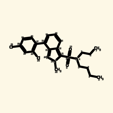 CCCCN(CCC)S(=O)(=O)c1c2cccc(-c3ccc(Cl)cc3Cl)c2nn1C